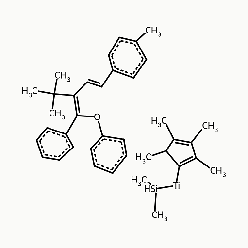 CC1=C(C)C(C)[C]([Ti][SiH](C)C)=C1C.Cc1ccc(C=CC(=C(Oc2ccccc2)c2ccccc2)C(C)(C)C)cc1